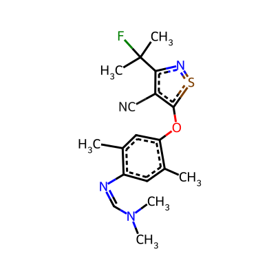 Cc1cc(Oc2snc(C(C)(C)F)c2C#N)c(C)cc1/N=C\N(C)C